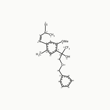 CCN(C)/C=N\c1cc(OC)c(C(O)(COCc2ccccc2)C(F)(F)F)cc1C